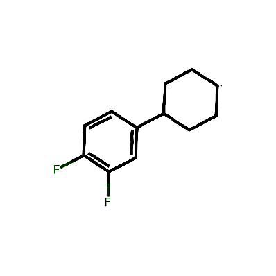 Fc1ccc(C2CC[CH]CC2)cc1F